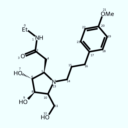 CCNC(=O)C[C@@H]1[C@@H](O)[C@H](O)C(CO)N1CCCc1ccc(OC)cc1